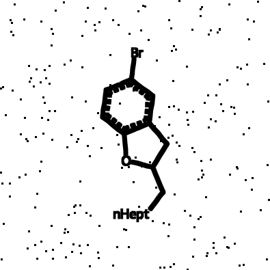 CCCCCCCCC1Cc2cc(Br)ccc2O1